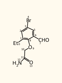 CCc1cc(Br)cc(C=O)c1OCC(N)=O